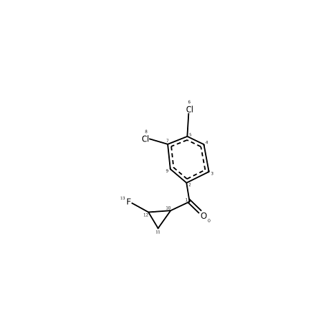 O=C(c1ccc(Cl)c(Cl)c1)C1CC1F